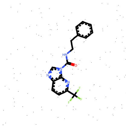 O=C(NCCc1ccccc1)n1cnc2ccc(C(F)(F)F)nc21